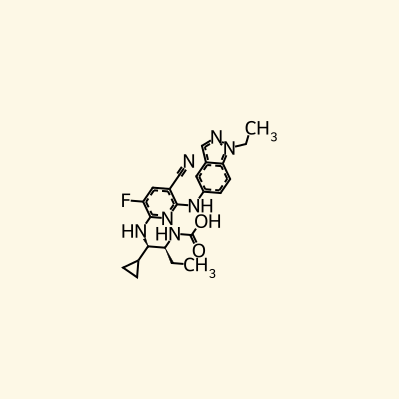 CC[C@H](NC(=O)O)[C@H](Nc1nc(Nc2ccc3c(cnn3CC)c2)c(C#N)cc1F)C1CC1